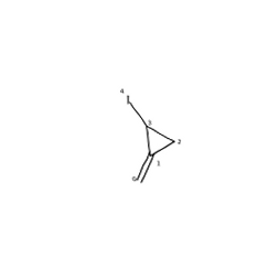 C=C1CC1I